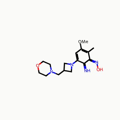 COC1=C(C)/C(=N/O)C(=N)C(N2CC(CN3CCOCC3)C2)=C1